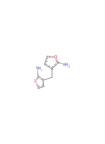 Nc1occc1Cc1ccoc1N